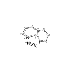 N#N.c1ccc2ncccc2c1